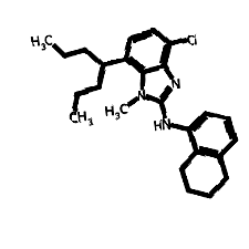 CCCC(CCC)c1ccc(Cl)c2nc(Nc3cccc4c3CCCC4)n(C)c12